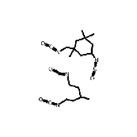 CC(CCN=C=O)CCN=C=O.CC1(C)CC(N=C=O)CC(C)(CN=C=O)C1